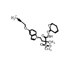 CC#CCOc1ccc2c(ccn2CCC(C)(C(=O)NOC2CCCCO2)S(C)(=O)=O)c1